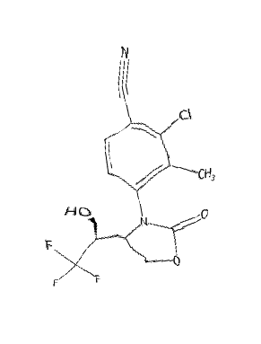 Cc1c(N2C(=O)OCC2[C@H](O)C(F)(F)F)ccc(C#N)c1Cl